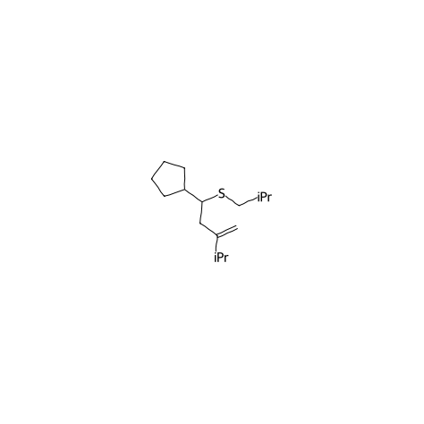 C=C(CC(SCC(C)C)C1CCCC1)C(C)C